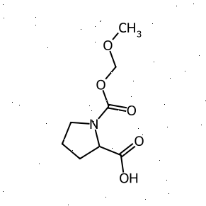 COCOC(=O)N1CCCC1C(=O)O